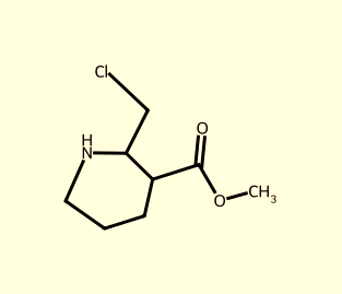 COC(=O)C1CCCNC1CCl